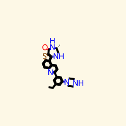 CCc1cc(-c2ccc3c(ccc4sc5c(c43)NC[C@@H](C)NC5=O)n2)cc(N2CCNCC2)c1